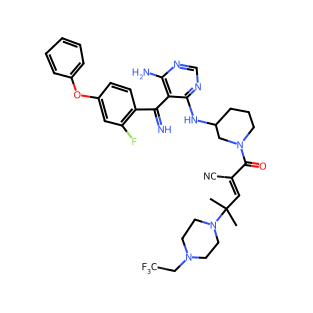 CC(C)(/C=C(\C#N)C(=O)N1CCCC(Nc2ncnc(N)c2C(=N)c2ccc(Oc3ccccc3)cc2F)C1)N1CCN(CC(F)(F)F)CC1